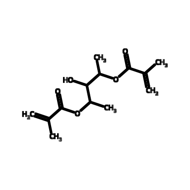 C=C(C)C(=O)OC(C)C(O)C(C)OC(=O)C(=C)C